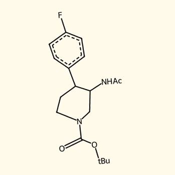 CC(=O)NC1CN(C(=O)OC(C)(C)C)CCC1c1ccc(F)cc1